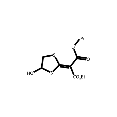 CCOC(=O)C(C(=O)OC(C)C)=C1SCC(O)S1